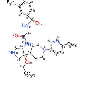 COc1ccc(N2CCC([C@]3(OCC(=O)O)CNC[C@@H]3NC(=O)CNC(=O)c3cccc(C(F)(F)F)c3)CC2)cn1